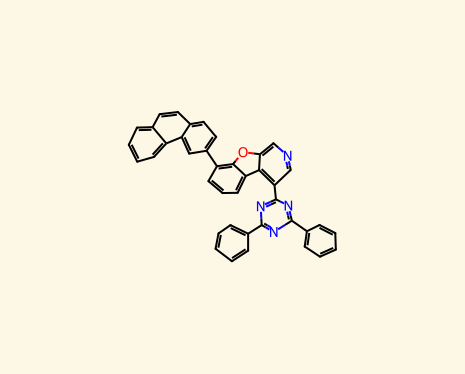 c1ccc(-c2nc(-c3ccccc3)nc(-c3cncc4oc5c(-c6ccc7ccc8ccccc8c7c6)cccc5c34)n2)cc1